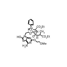 CCOC(=O)[C@H](C)NP(=O)(CO[C@@H](COc1ccccc1)Cn1c(O)nc2c(N)nc(OCCOC)nc21)N[C@@H](C)C(=O)OCC